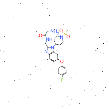 C[C@H](N)C(=O)NCc1nc2ccc(Oc3ccc(F)cc3)cc2n1C1CCN(S(C)(=O)=O)CC1